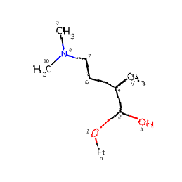 CCOC(O)C(C)CCN(C)C